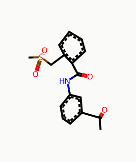 CC(=O)c1cccc(NC(=O)c2ccccc2CS(C)(=O)=O)c1